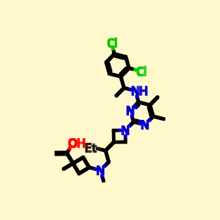 C=C(O)C1(C)CC(N(C)CC(CC)C2CN(c3nc(C)c(C)c(NC(C)c4ccc(Cl)cc4Cl)n3)C2)C1